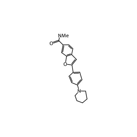 CNC(=O)c1ccc2cc(-c3ccc(N4CCCCC4)cc3)oc2c1